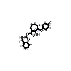 C[C@H](NC(=O)Oc1n[nH]c2c1CCCC/C2=C\c1ccc(Cl)cc1)c1ccccc1